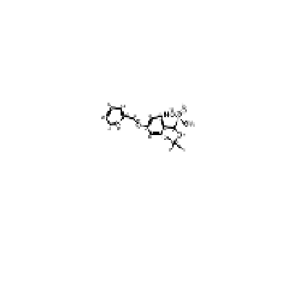 C[Si](C)(C)OC(c1ccc(OCc2ccccn2)cc1)P(=O)(O)O